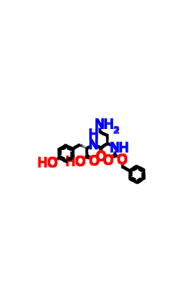 NCC[C@@H](NC(=O)OCc1ccccc1)C(=O)N[C@@H](Cc1ccc(O)cc1)C(=O)O